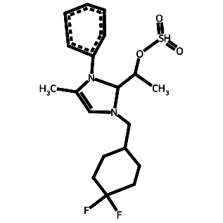 CC1=CN(CC2CCC(F)(F)CC2)C(C(C)O[SH](=O)=O)N1c1ccccc1